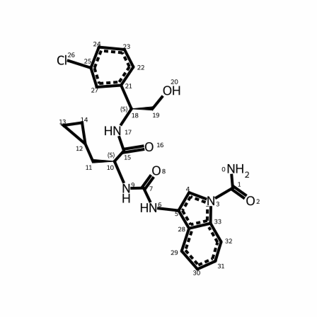 NC(=O)n1cc(NC(=O)N[C@@H](CC2CC2)C(=O)N[C@H](CO)c2cccc(Cl)c2)c2ccccc21